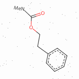 CNC(=O)OCCc1ccccc1